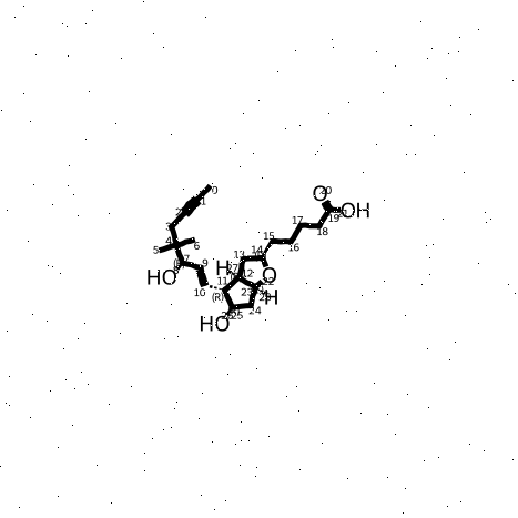 CC#CCC(C)(C)[C@H](O)C=C[C@@H]1[C@H]2C[C@@H](CCCCC(=O)O)O[C@H]2C[C@H]1O